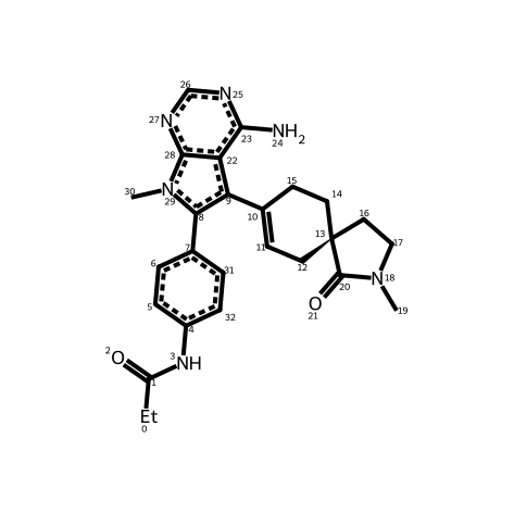 CCC(=O)Nc1ccc(-c2c(C3=CC[C@@]4(CC3)CCN(C)C4=O)c3c(N)ncnc3n2C)cc1